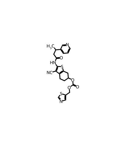 CC(CC(=O)Nc1sc2c(c1C#N)CCC(OC(=O)OCc1cncs1)C2)c1cccnc1